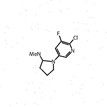 CNC1CCCN1c1cnc(Cl)c(F)c1